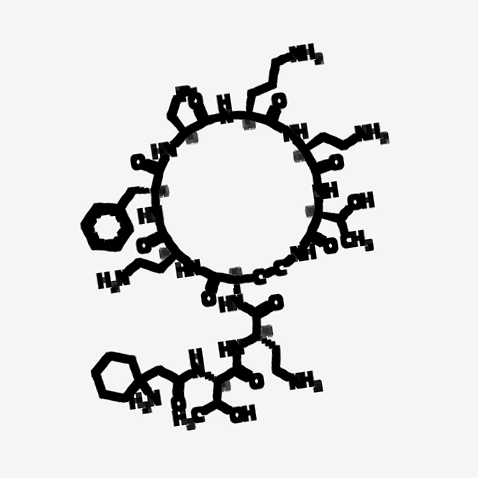 CC(C)C[C@@H]1NC(=O)[C@@H](Cc2ccccc2)NC(=O)[C@H](CCN)NC(=O)[C@@H](NC(=O)[C@H](CCN)NC(=O)[C@@H](NC(=O)CC2(N)CCCCC2)C(C)O)CCNC(=O)[C@H](C(C)O)NC(=O)[C@H](CCN)NC(=O)[C@H](CCCN)NC1=O